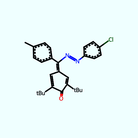 Cc1ccc(C(N=Nc2ccc(Cl)cc2)=C2C=C(C(C)(C)C)C(=O)C(C(C)(C)C)=C2)cc1